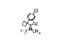 CC(=O)C(N(C)C)C1(c2ccc(Cl)cc2)CCC1